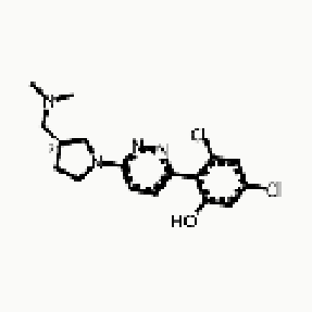 CN(C)C[C@@H]1CCN(c2ccc(-c3c(O)cc(Cl)cc3Cl)nn2)C1